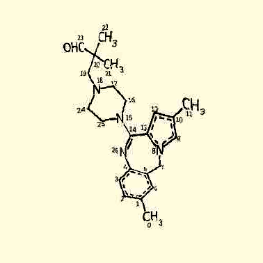 Cc1ccc2c(c1)Cn1cc(C)cc1C(N1CCN(CC(C)(C)C=O)CC1)=N2